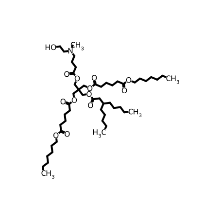 CCCCCCCOC(=O)CCCCC(=O)OCC(COC(=O)CCCCC(=O)OCCCCCCC)(COC(=O)CCCN(C)CCO)COC(=O)CC(CCCCC)CCCCC